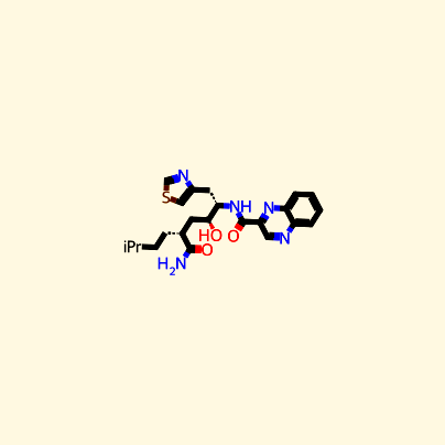 CC(C)CC[C@H](C[C@H](O)[C@H](Cc1cscn1)NC(=O)c1cnc2ccccc2n1)C(N)=O